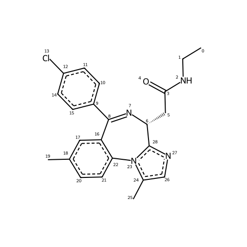 CCNC(=O)C[C@H]1N=C(c2ccc(Cl)cc2)c2cc(C)ccc2-n2c(C)cnc21